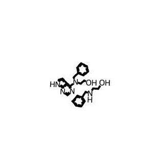 OCCN(Cc1ccccc1)c1ncnc2[nH]ccc12.OCCNCc1ccccc1